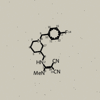 CNC(NCC1CCCN(Cc2ccc(F)cc2)C1)=C(C#N)C#N